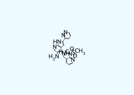 CN(c1ncccc1CNc1c(N)cnc2[nH]c(-c3cccnn3)cc12)S(C)(=O)=O